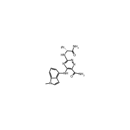 CC(C)[C@@H](Nc1nnc(C(N)=O)c(Nc2cccc3c2ccn3C)n1)C(N)=O